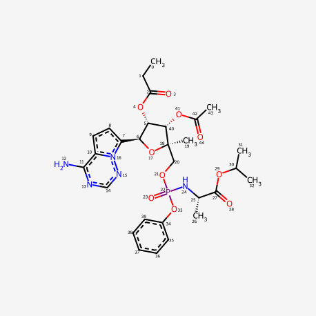 CCC(=O)O[C@H]1[C@H](c2ccc3c(N)ncnn23)O[C@](C)(COP(=O)(N[C@@H](C)C(=O)OC(C)C)Oc2ccccc2)[C@H]1OC(C)=O